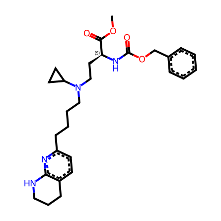 COC(=O)[C@H](CCN(CCCCc1ccc2c(n1)NCCC2)C1CC1)NC(=O)OCc1ccccc1